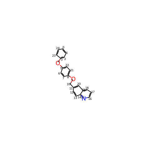 c1ccc(Oc2ccc(OCc3ccc4ncccc4c3)cc2)cc1